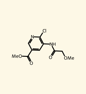 COCC(=O)Nc1cc(C(=O)OC)cnc1Cl